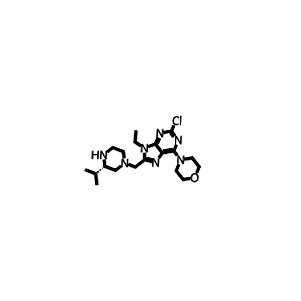 CCn1c(CN2CCN[C@@H](C(C)C)C2)nc2c(N3CCOCC3)nc(Cl)nc21